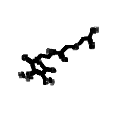 CC1=C(C)C(=O)N(CCNC(=O)CSCC(=O)O)C1=O